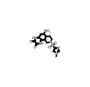 Cn1cnc(S(=O)(=O)N2CCc3c([N+](=O)[O-])cc4[nH]c(=O)c(=O)[nH]c4c3C2)c1